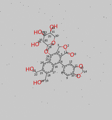 O=C1OCc2c1c(-c1ccc3c(c1)OCO3)c1cc(CO)c(CO)cc1c2OC1OC[C@H](O)[C@H](O)[C@H]1O